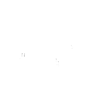 NC1=CC=CC2SCNC12